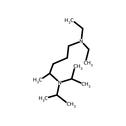 CCN(CC)CCCC(C)N(C(C)C)C(C)C